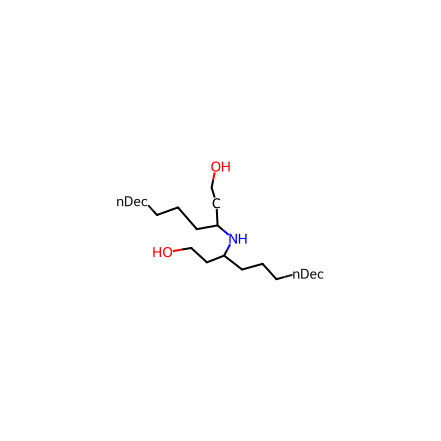 CCCCCCCCCCCCCC(CCO)NC(CCO)CCCCCCCCCCCCC